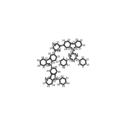 c1ccc(-c2nc(-c3ccccc3)nc(-n3c4ccccc4c4ccc(-c5cncc(-c6ccc7c(c6)c6ccccc6n7-c6ccc7c(c6)c6ncccc6n7-c6ccccc6)n5)cc43)n2)cc1